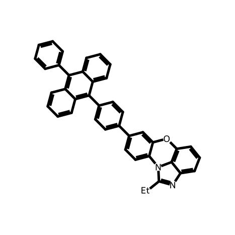 CCc1nc2cccc3c2n1-c1ccc(-c2ccc(-c4c5ccccc5c(-c5ccccc5)c5ccccc45)cc2)cc1O3